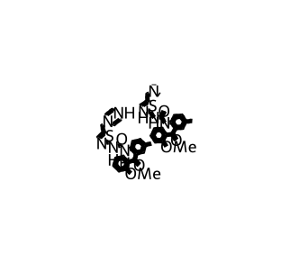 COc1ccccc1C(=O)c1cc(C)ccc1NC(=O)Nc1ncc(CN(C)C)s1.COc1ccccc1C(=O)c1cc(C)ccc1NC(=O)Nc1ncc(CN2CCNCC2)s1